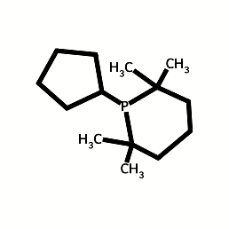 CC1(C)CCCC(C)(C)P1C1CCCC1